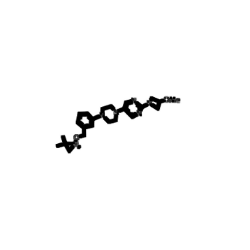 COC1CN(c2ncc(N3CCN(c4cccc(CO[Si]5(C)CC5(C)C)c4)CC3)cn2)C1